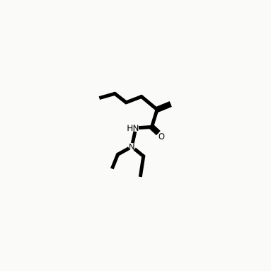 C=C(CCCC)C(=O)NN(CC)CC